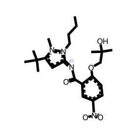 CCCCn1/c(=N/C(=O)c2cc([N+](=O)[O-])ccc2OCC(C)(C)O)cc(C(C)(C)C)n1C